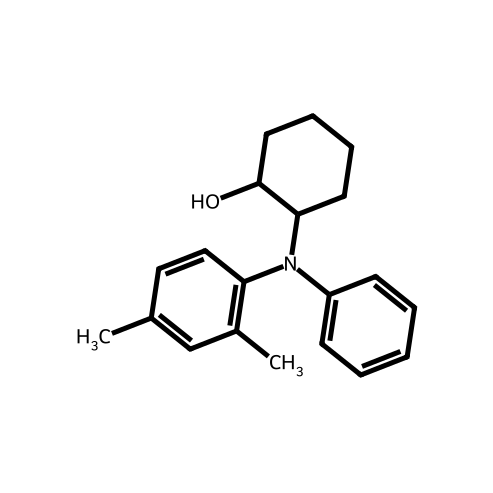 Cc1ccc(N(c2ccccc2)C2CCCCC2O)c(C)c1